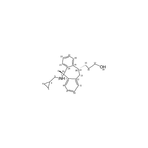 C[C@]1(NCC2CC2)c2ccccc2C[C@@H](CCCO)c2ccccc21